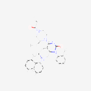 C=CC(=O)N1CCN(c2nc(=O)n(-c3ccccc3C(C)C)c3c2CCN(c2cccc4cccc(C)c24)C3)C(C)C1